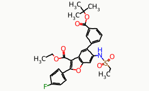 CCOC(=O)c1c(-c2ccc(F)cc2)oc2cc(NS(=O)(=O)CC)c(-c3cccc(C(=O)OC(C)(C)C)c3)cc12